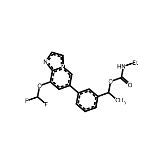 CCNC(=O)OC(C)c1cccc(-c2cc(OC(F)F)c3nccn3c2)c1